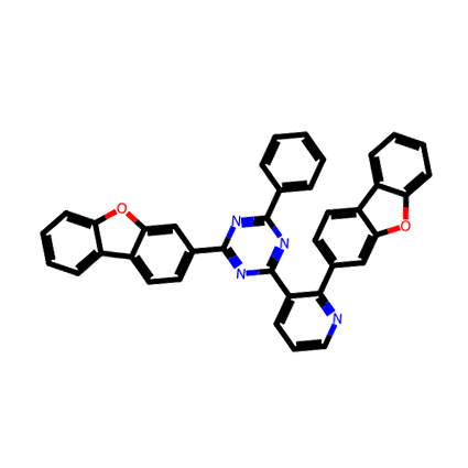 c1ccc(-c2nc(-c3ccc4c(c3)oc3ccccc34)nc(-c3cccnc3-c3ccc4c(c3)oc3ccccc34)n2)cc1